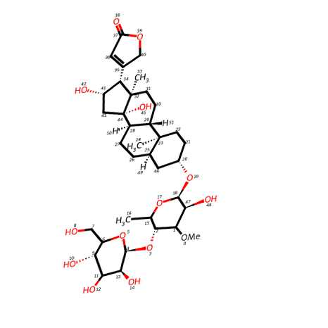 COC1[C@H](O[C@@H]2OC(CO)[C@@H](O)C(O)[C@@H]2O)C(C)O[C@@H](O[C@H]2CC[C@@]3(C)[C@H](CC[C@@H]4[C@@H]3CC[C@]3(C)[C@@H](C5=CC(=O)OC5)[C@@H](O)C[C@]43O)C2)[C@H]1O